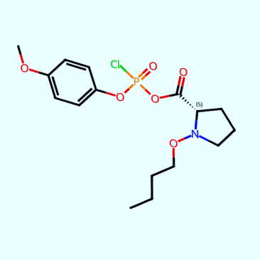 CCCCON1CCC[C@H]1C(=O)OP(=O)(Cl)Oc1ccc(OC)cc1